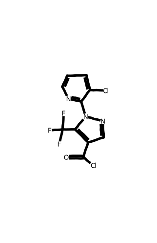 O=C(Cl)c1cnn(-c2ncccc2Cl)c1C(F)(F)F